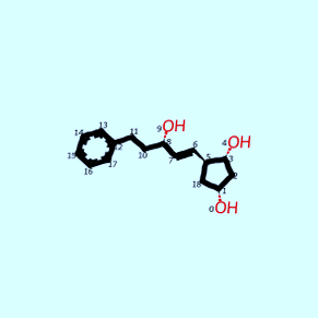 O[C@H]1C[C@@H](O)[C@H](/C=C/[C@@H](O)CCc2ccccc2)C1